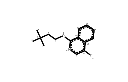 CC(C)(C)CCOc1ncc(Cl)c2ccccc12